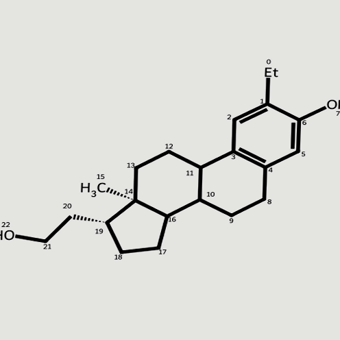 CCc1cc2c(cc1O)CCC1C2CC[C@@]2(C)C1CC[C@@H]2CCO